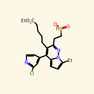 CCOC(=O)CCCCc1c(CC[SH](=O)=O)nn2c(CC)ccc2c1-c1ccnc(Cl)c1